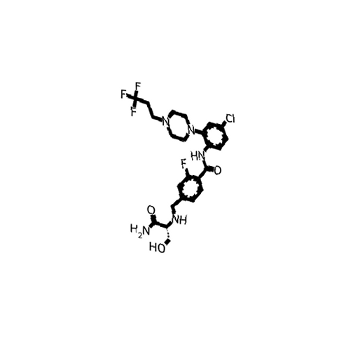 NC(=O)[C@@H](CO)NCc1ccc(C(=O)Nc2ccc(Cl)cc2N2CCN(CCC(F)(F)F)CC2)c(F)c1